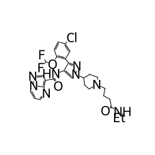 CCNC(=O)CCCN1CCC(n2cc(NC(=O)c3cnn4cccnc34)c(-c3cc(Cl)ccc3OC(F)F)n2)CC1